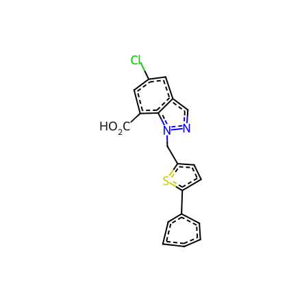 O=C(O)c1cc(Cl)cc2cnn(Cc3ccc(-c4ccccc4)s3)c12